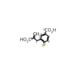 C=C(Cc1cc(C(=O)O)ccc1F)C(=O)O